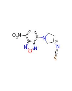 O=[N+]([O-])c1ccc(N2CC[C@H](N=C=S)C2)c2nonc12